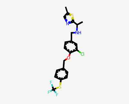 Cc1cnc(C(C)NCc2ccc(OCc3ccc(SC(F)(F)F)cc3)c(Cl)c2)s1